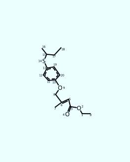 CCOC(=O)C=C(C)COc1ccc(SC(C)CC)cc1